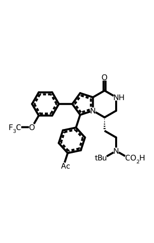 CC(=O)c1ccc(-c2c(-c3cccc(OC(F)(F)F)c3)cc3n2[C@@H](CCN(C(=O)O)C(C)(C)C)CNC3=O)cc1